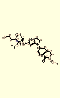 C/C(C(=O)Nc1cc2n(n1)CCN2c1ccc2c(c1)CCN(C)C2=O)=C(/O)CCI